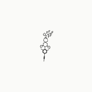 CC#Cc1cc(C)c(C2C(=O)CC3(CCN(C(=O)C(F)(F)C(F)(F)F)CC3)CC2=O)c(C)c1